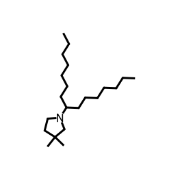 CCCCCCCC(CCCCCCC)N1CCC(C)(C)C1